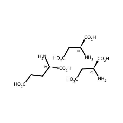 N[C@@H](CC(=O)O)C(=O)O.N[C@@H](CC(=O)O)C(=O)O.N[C@@H](CCC(=O)O)C(=O)O